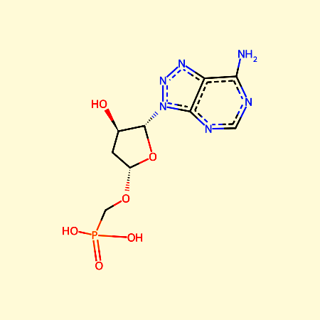 Nc1ncnc2c1nnn2[C@@H]1O[C@H](OCP(=O)(O)O)C[C@H]1O